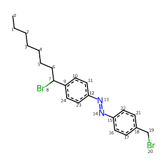 CCCCCCCC(Br)c1ccc(N=Nc2ccc(CBr)cc2)cc1